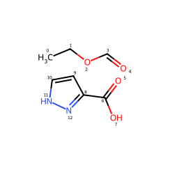 CCOC=O.O=C(O)c1cc[nH]n1